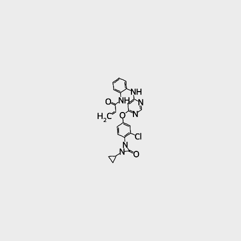 C=CC(=O)Nc1ccccc1Nc1cc(Oc2ccc(N3C(=O)N3C3CC3)c(Cl)c2)ncn1